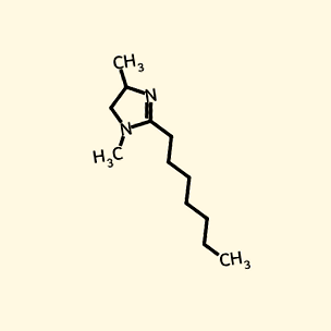 CCCCCCCC1=NC(C)CN1C